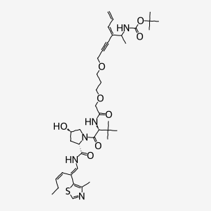 C=C/C=C(/C#CCOCCCOCC(=O)N[C@H](C(=O)N1C[C@H](O)C[C@H]1C(=O)N/C=C(\C=C/CC)c1scnc1C)C(C)(C)C)C(C)NC(=O)OC(C)(C)C